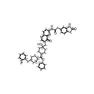 O=C(Cc1ccc2c(c1)NC(=O)C2)Nc1ccc2ncn(CC3(O)CCN(C(=O)[C@@H]4CCN(Cc5ccccc5F)C[C@H]4c4ccccc4)CC3)c(=O)c2n1